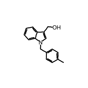 Cc1ccc(Cn2cc(CO)c3ccccc32)cc1